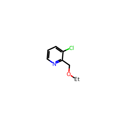 CCOCc1ncccc1Cl